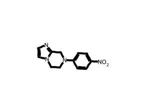 O=[N+]([O-])c1ccc(N2CCn3ccnc3C2)cc1